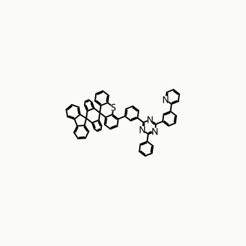 c1ccc(-c2nc(-c3cccc(-c4ccccn4)c3)nc(-c3cccc(-c4cccc5c4Sc4ccccc4C54c5ccccc5C5(c6ccccc6-c6ccccc65)c5ccccc54)c3)n2)cc1